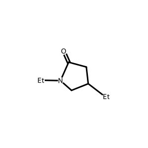 CCC1CC(=O)N(CC)C1